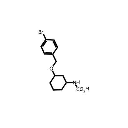 O=C(O)NC1CCCC(OCc2ccc(Br)cc2)C1